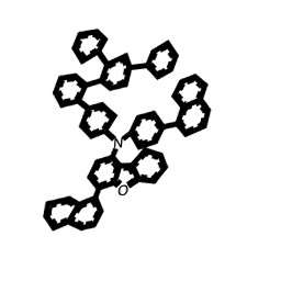 c1ccc(-c2ccc(-c3ccccc3-c3ccc(N(c4ccc(-c5cccc6ccccc56)cc4)c4ccc(-c5cccc6ccccc56)c5oc6ccccc6c45)cc3)c(-c3ccccc3)c2)cc1